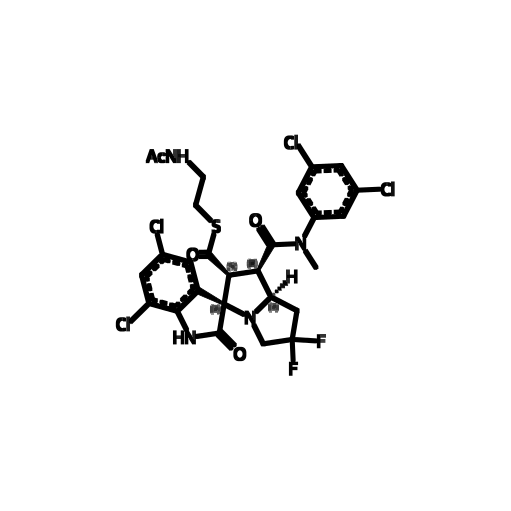 CC(=O)NCCSC(=O)[C@H]1[C@@H](C(=O)N(C)c2cc(Cl)cc(Cl)c2)[C@H]2CC(F)(F)CN2[C@]12C(=O)Nc1c(Cl)cc(Cl)cc12